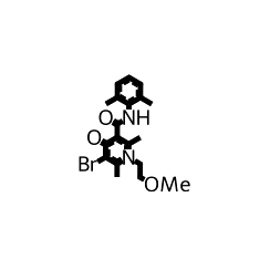 COCCn1c(C)c(Br)c(=O)c(C(=O)Nc2c(C)cccc2C)c1C